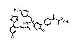 COC(=O)Nc1ccc(-c2cc([C@H](Cc3ccc(N)nc3)NC(=O)/C=C/c3cc(Cl)ccc3-n3cnnn3)n[nH]c2=O)cc1